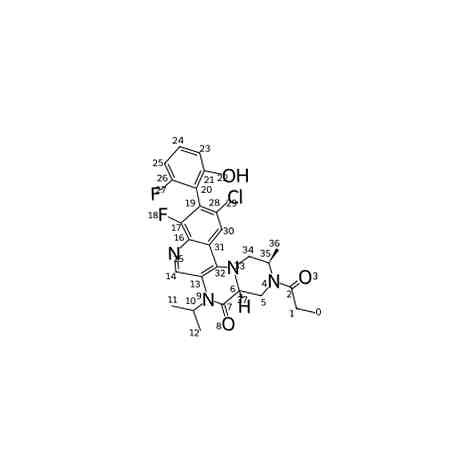 CCC(=O)N1C[C@@H]2C(=O)N(C(C)C)c3cnc4c(F)c(-c5c(O)cccc5F)c(Cl)cc4c3N2C[C@H]1C